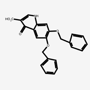 O=C(O)c1c[nH]c2cc(OCc3ccccc3)c(OCc3ccccc3)cc2c1=O